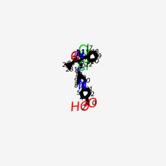 O=C(O)c1ccc(N2CC3C(/C=C/c4c(-c5c(Cl)cccc5Cl)noc4C4CC4)C3C2)cc1